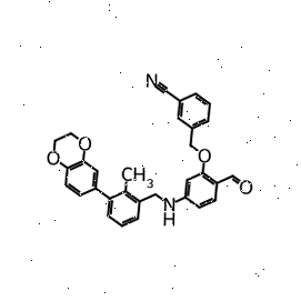 Cc1c(CNc2ccc(C=O)c(OCc3cccc(C#N)c3)c2)cccc1-c1ccc2c(c1)OCCO2